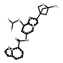 CC12CC(c3cn4cc(NC(=O)c5cccc6ccnn56)cc(OC(F)F)c4n3)(CO1)C2